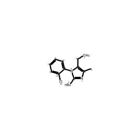 CCCCc1nc(C)c(COC(C)=O)n1-c1ccccc1Cl